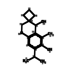 Cc1c(O)c(C(C)C)cc2c1C(O)C1(CCC1)CO2